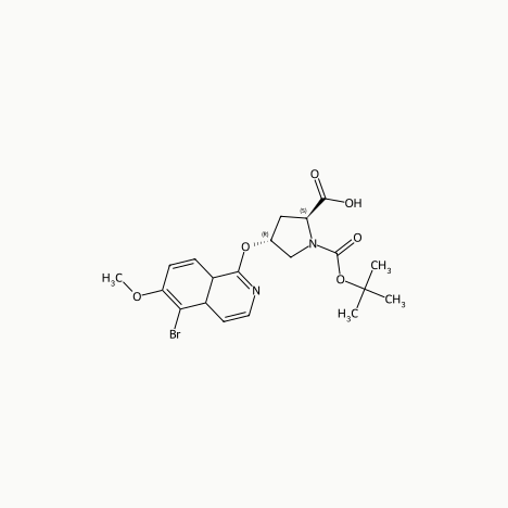 COC1=C(Br)C2C=CN=C(O[C@@H]3C[C@@H](C(=O)O)N(C(=O)OC(C)(C)C)C3)C2C=C1